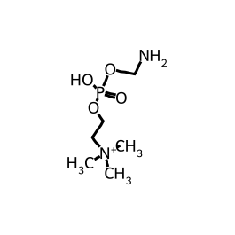 C[N+](C)(C)CCOP(=O)(O)OCN